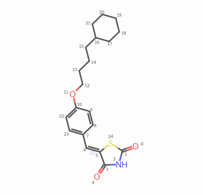 O=C1NC(=O)/C(=C/c2ccc(OCCCCC3CCCCC3)cc2)S1